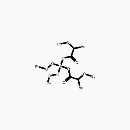 CCOC(C(C)=O)C(=O)[O][Ti]([O]OC(C)C)([O]OC(C)C)[O]C(=O)C(OCC)C(C)=O